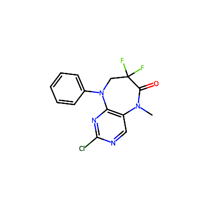 CN1C(=O)C(F)(F)CN(c2ccccc2)c2nc(Cl)ncc21